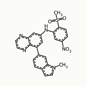 Cn1ccc2ccc(-c3cc(Nc4cc([N+](=O)[O-])ccc4S(C)(=O)=O)cc4nccnc34)cc21